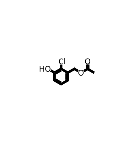 CC(=O)O[CH]c1cccc(O)c1Cl